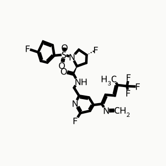 C=N/C(=C\C=C(/C)C(F)(F)F)c1cc(F)nc(CNC(=O)[C@@H]2C[C@@H](F)CN2S(=O)(=O)c2ccc(F)cc2)c1